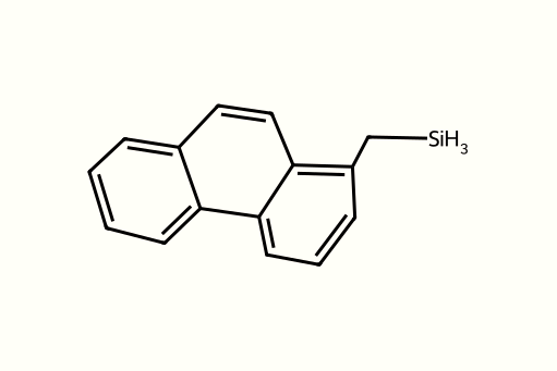 [SiH3]Cc1cccc2c1ccc1ccccc12